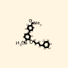 COc1ccc(-c2ccc(C(N)=O)cc2)cc1OCCCCc1ccccc1